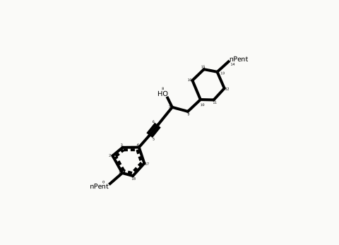 CCCCCc1ccc(C#CC(O)CC2CCC(CCCCC)CC2)cc1